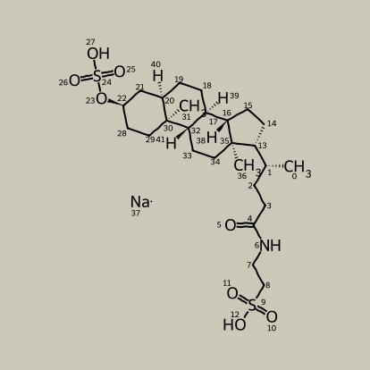 C[C@H](CCC(=O)NCCS(=O)(=O)O)[C@H]1CC[C@H]2[C@@H]3CC[C@@H]4C[C@H](OS(=O)(=O)O)CC[C@]4(C)[C@H]3CC[C@]12C.[Na]